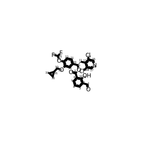 O=Cc1cccc(C(=O)O[C@@H](Cc2c(Cl)cncc2Cl)c2ccc(OC(F)F)c(OCC3CC3)c2)c1O